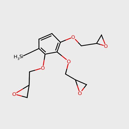 [SiH3]c1ccc(OCC2CO2)c(OCC2CO2)c1OCC1CO1